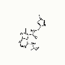 Cc1oc2ncnc(NC3(C)CC3)c2c1C(=O)NCc1cn(C)cn1